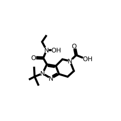 CCN(O)C(=O)c1c2c(nn1C(C)(C)C)CCN(C(=O)O)C2